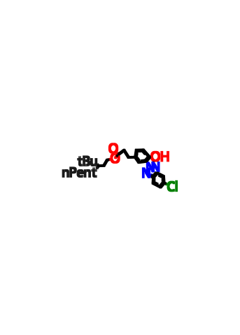 CCCCCC(CCOC(=O)CCc1ccc(O)c(-n2nc3ccc(Cl)cc3n2)c1)C(C)(C)C